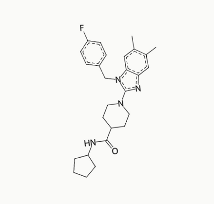 Cc1cc2nc(N3CCC(C(=O)NC4CCCC4)CC3)n(Cc3ccc(F)cc3)c2cc1C